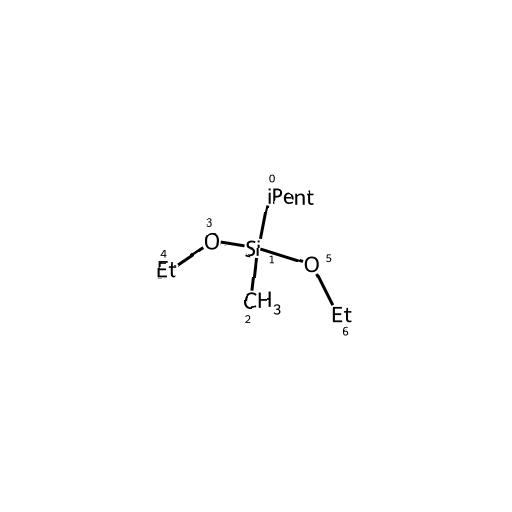 CCCC(C)[Si](C)(OCC)OCC